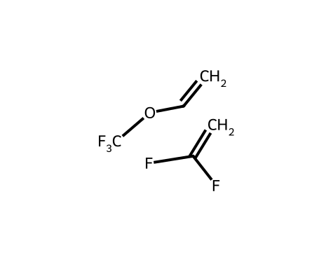 C=C(F)F.C=COC(F)(F)F